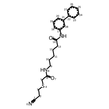 N#CCCSCC(=O)NCCCCCC(=O)Nc1cccc(-c2ccccc2)c1